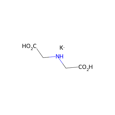 O=C(O)CNCC(=O)O.[K]